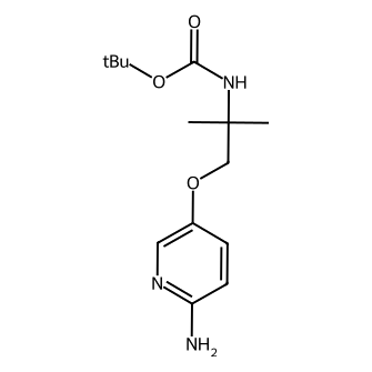 CC(C)(COc1ccc(N)nc1)NC(=O)OC(C)(C)C